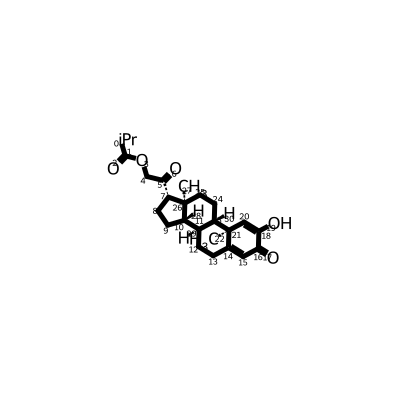 CC(C)C(=O)OCC(=O)[C@H]1CC[C@H]2[C@@H]3CCC4=CC(=O)C(O)=C[C@]4(C)[C@H]3CC[C@]12C